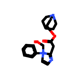 O=C(CC1=NC=C[N+]1(CO)c1ccccc1)OC1CN2CCC1CC2